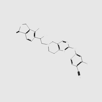 Cc1c(C(O)CN2CCc3nc(Nc4ccc(C#N)c(F)c4)ncc3C2)ccc2c1COC2=O